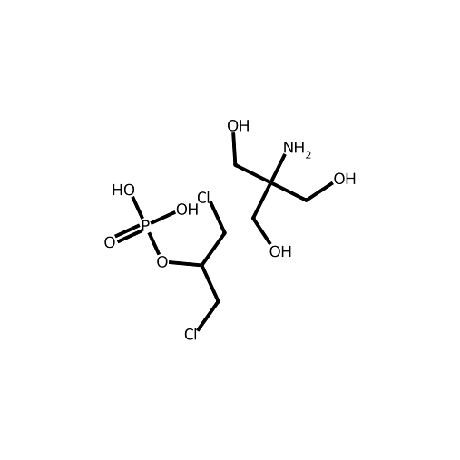 NC(CO)(CO)CO.O=P(O)(O)OC(CCl)CCl